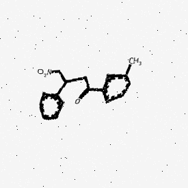 Cc1cccc(C(=O)CC(C[N+](=O)[O-])c2ccccc2)c1